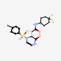 Cc1ccc(S(=O)(=O)N2C=CNC(=O)[C@H]2CC(=O)NC2CCC(F)(F)CC2)cc1